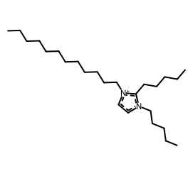 CCCCCCCCCCCC[n+]1ccn(CCCCC)c1CCCCC